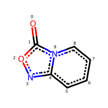 O=c1onc2ccccn12